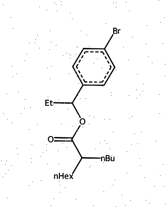 CCCCCCC(CCCC)C(=O)OC(CC)c1ccc(Br)cc1